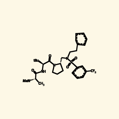 CN[C@@H](C)C(=O)N[C@H](C(=O)N1CCC[C@H]1CN(CCc1ccccc1)S(=O)(=O)c1cccc(C(F)(F)F)c1)C(C)(C)C